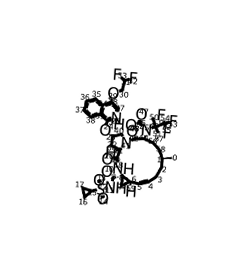 C[C@H]1CCC=C[C@@H]2C[C@@]2(C(=O)NS(=O)(=O)C2CC2)NC(=O)[C@@H]2C[C@@H](Oc3ncc(OCC(F)F)c4ccccc34)CN2C(=O)[C@@H](N(C(=O)O)C(C)(C)C(F)(F)F)[C@H](C)C1